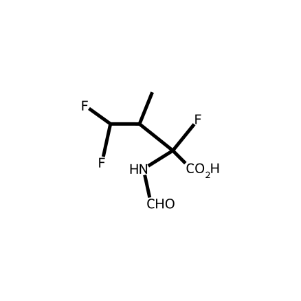 CC(C(F)F)C(F)(NC=O)C(=O)O